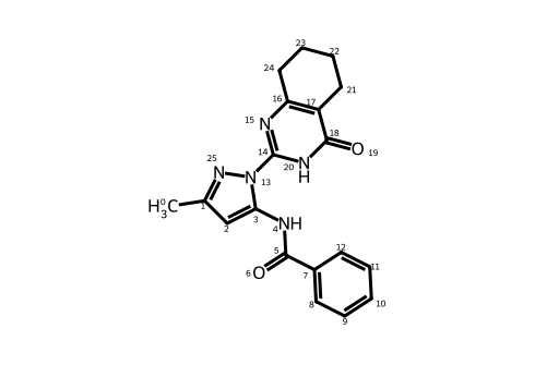 Cc1cc(NC(=O)c2ccccc2)n(-c2nc3c(c(=O)[nH]2)CCCC3)n1